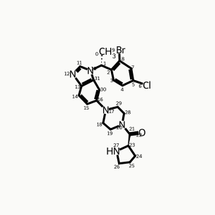 C[C@H](c1ccc(Cl)cc1Br)n1cnc2ccc(N3CCN(C(=O)[C@H]4CCCN4)CC3)cc21